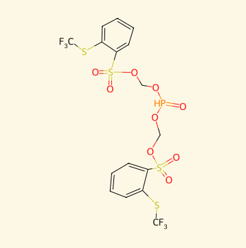 O=[PH](OCOS(=O)(=O)c1ccccc1SC(F)(F)F)OCOS(=O)(=O)c1ccccc1SC(F)(F)F